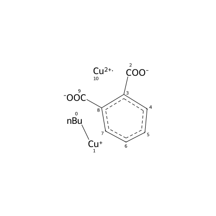 CCC[CH2][Cu+].O=C([O-])c1ccccc1C(=O)[O-].[Cu+2]